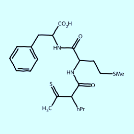 CCCC(C(=O)NC(CCSC)C(=O)NC(Cc1ccccc1)C(=O)O)C(C)=S